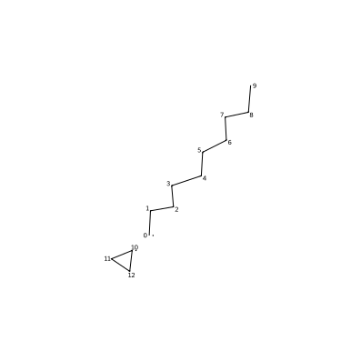 [CH2]CCCCCCCCC.[CH]1CC1